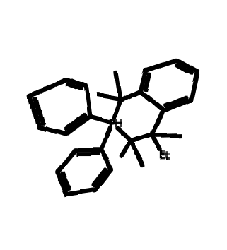 CCC1(C)c2ccccc2C(C)(C)[PH](c2ccccc2)(c2ccccc2)C1(C)C